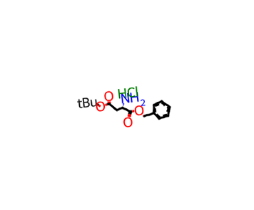 CC(C)(C)OC(=O)C[C@H](N)C(=O)OCc1ccccc1.Cl